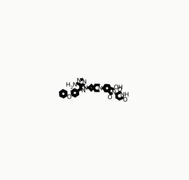 Nc1ncnc2c1c(-c1ccc(Oc3ccccc3)cc1)nn2C1CC2(CCN(c3ccc4c(c3)C(=O)N(C3CCC(=O)NC3=O)C4O)CC2)C1